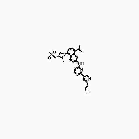 CC(C)c1ccc(N2C[C@H](CS(C)(=O)=O)[C@H]2C)c2cnc(Nc3ccnc(-c4cnn(CCO)c4)n3)cc12